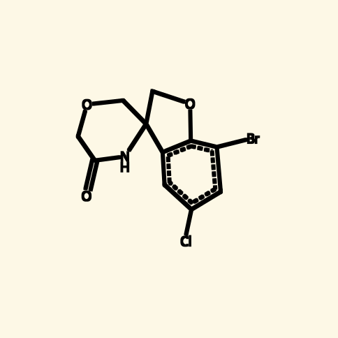 O=C1COCC2(COc3c(Br)cc(Cl)cc32)N1